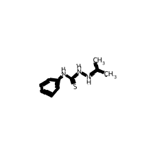 CC(C)NNC(=S)Nc1ccccc1